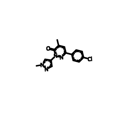 Cc1cc(-c2ccc(Cl)cc2)nn(-c2cnn(C)c2)c1=O